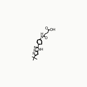 CC(C)(C)c1cc2[nH]c(-c3ccc(NC(=O)CCC(=O)O)cc3)nn2n1